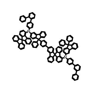 c1ccc(-c2cccc(-c3ccc(N(c4ccc5c(c4)-c4ccccc4C5(c4ccccc4)c4ccccc4)c4cccc5c4-c4ccccc4C54c5ccccc5-c5cc(-c6ccc(C7(c8ccccc8)c8ccccc8-c8cc(N(c9ccc(-c%10ccccc%10-c%10ccccc%10)cc9)c9cccc%10c9-c9ccccc9C%109c%10ccccc%10-c%10ccccc%109)ccc87)cc6)ccc54)cc3)c2)cc1